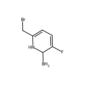 BC1NC(CBr)=CC=C1F